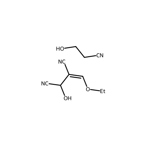 CCOC=C(C#N)C(O)C#N.N#CCCO